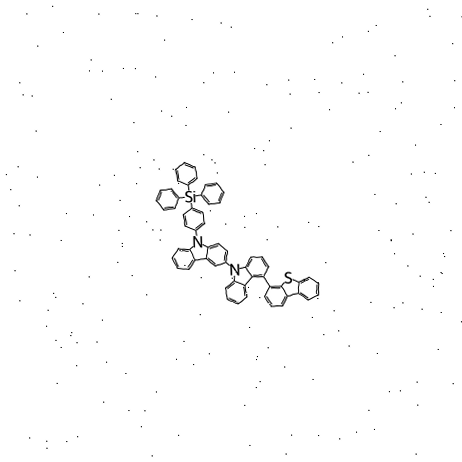 c1ccc([Si](c2ccccc2)(c2ccccc2)c2ccc(-n3c4ccccc4c4cc(-n5c6ccccc6c6c(-c7cccc8c7sc7ccccc78)cccc65)ccc43)cc2)cc1